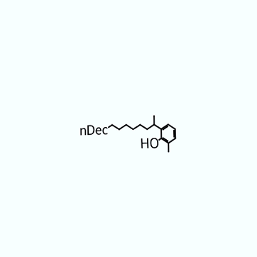 CCCCCCCCCCCCCCCCC(C)c1cccc(C)c1O